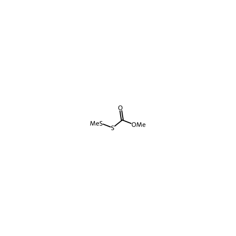 [CH2]OC(=O)SSC